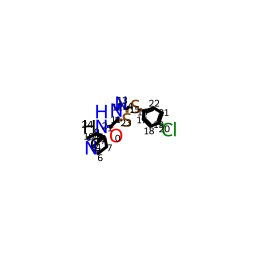 O=C(N[C@H]1CN2CCC1CC2)c1nnc(Sc2ccc(Cl)cc2)s1